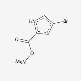 CNOC(=O)c1cc(Br)c[nH]1